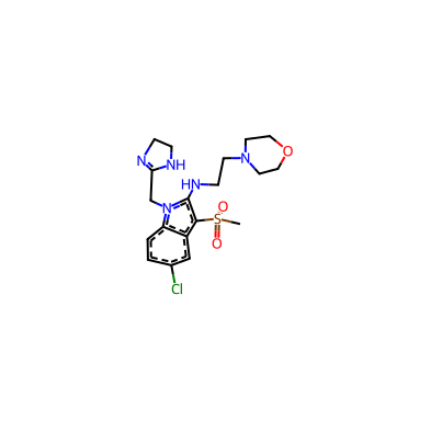 CS(=O)(=O)c1c(NCCN2CCOCC2)n(CC2=NCCN2)c2ccc(Cl)cc12